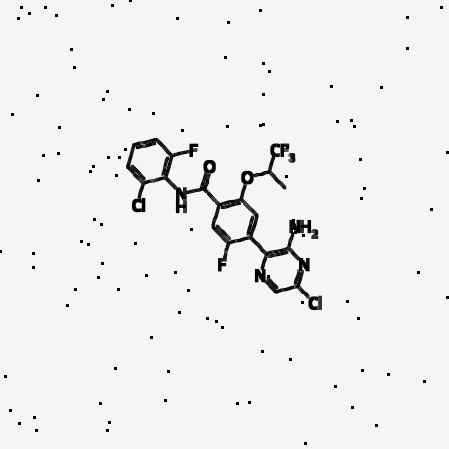 CC(Oc1cc(-c2ncc(Cl)nc2N)c(F)cc1C(=O)Nc1c(F)cccc1Cl)C(F)(F)F